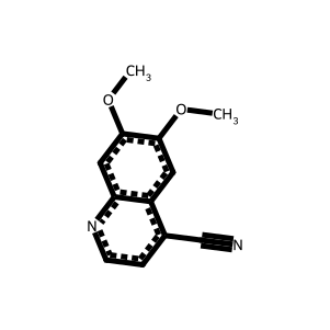 COc1cc2nccc(C#N)c2cc1OC